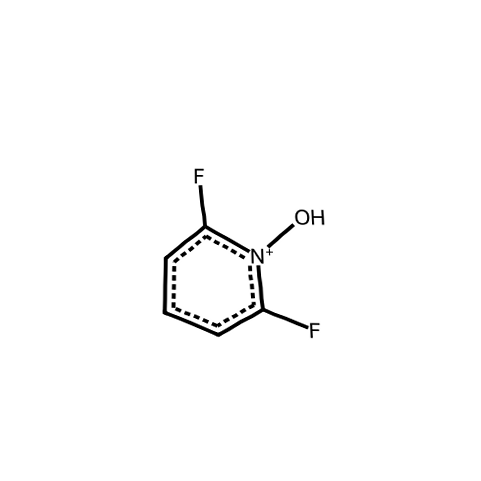 O[n+]1c(F)cccc1F